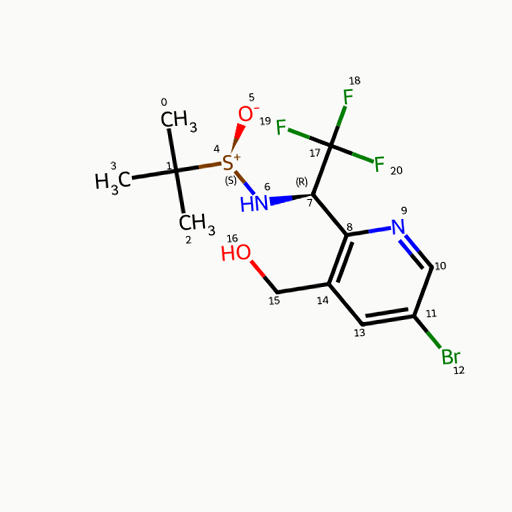 CC(C)(C)[S@@+]([O-])N[C@H](c1ncc(Br)cc1CO)C(F)(F)F